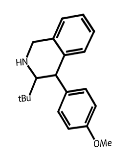 COc1ccc(C2c3ccccc3CNC2C(C)(C)C)cc1